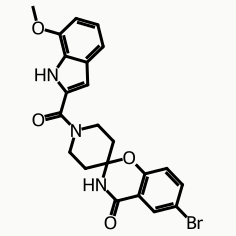 COc1cccc2cc(C(=O)N3CCC4(CC3)NC(=O)c3cc(Br)ccc3O4)[nH]c12